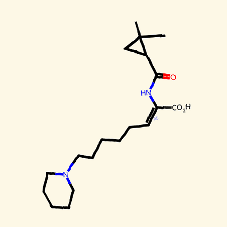 CC1(C)CC1C(=O)N/C(=C\CCCCCN1CCCCC1)C(=O)O